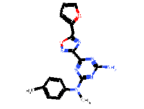 Cc1ccc(N(C)c2nc(N)nc(-c3noc(-c4ccco4)n3)n2)cc1